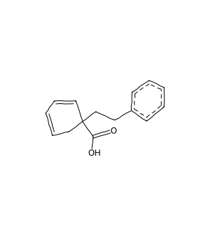 O=C(O)C1(CCc2ccccc2)C=CC=CC1